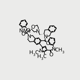 CNc1ccccc1OC(=O)N1CCc2cc(-c3cc(C(=O)N(C)c4ccccc4)c(C)n3C)c(C(=O)N3Cc4ccccc4C[C@H]3CN3CCOCC3)cc2C1